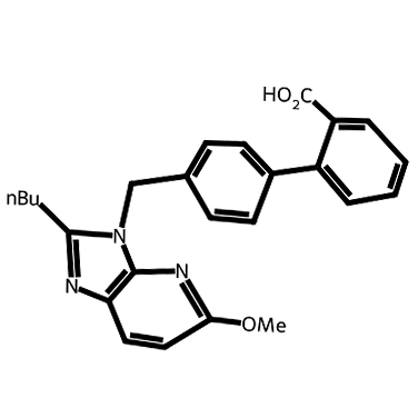 CCCCc1nc2ccc(OC)nc2n1Cc1ccc(-c2ccccc2C(=O)O)cc1